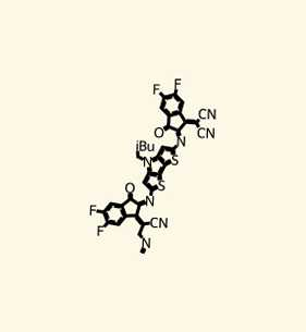 C=NC/C(C#N)=C1/C(=N/c2cc3c(s2)c2sc(/N=C4\C(=O)c5cc(F)c(F)cc5C4=C(C#N)C#N)cc2n3CC(C)CC)C(=O)c2cc(F)c(F)cc21